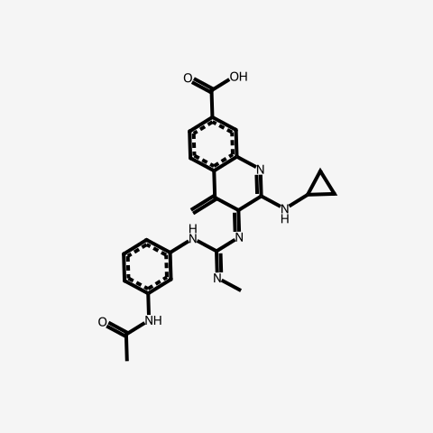 C=C1/C(=N\C(=N/C)Nc2cccc(NC(C)=O)c2)C(NC2CC2)=Nc2cc(C(=O)O)ccc21